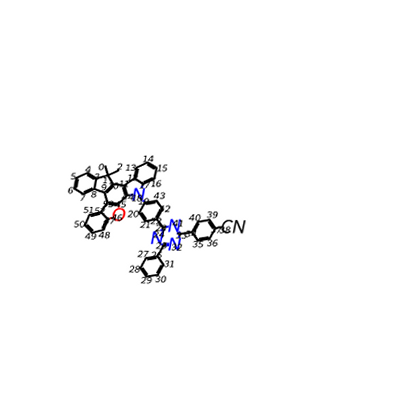 CC1(C)c2ccccc2-c2c1c1c3ccccc3n(-c3ccc(-c4nc(-c5ccccc5)nc(-c5ccc(C#N)cc5)n4)cc3)c1c1oc3ccccc3c21